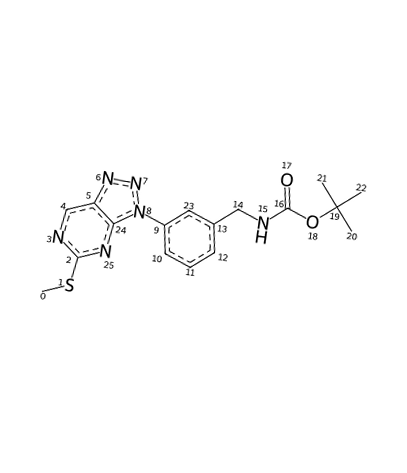 CSc1ncc2nnn(-c3cccc(CNC(=O)OC(C)(C)C)c3)c2n1